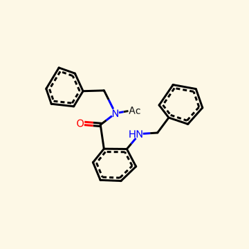 CC(=O)N(Cc1ccccc1)C(=O)c1ccccc1NCc1ccccc1